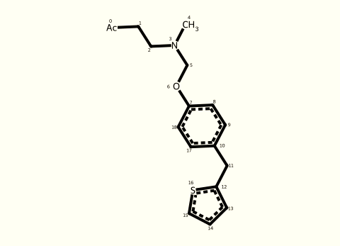 CC(=O)CCN(C)COc1ccc(Cc2cccs2)cc1